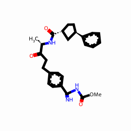 COC(=O)NC(=N)c1ccc(CCC(=O)[C@H](C)NC(=O)[C@@H]2CC[C@@H](c3ccccc3)C2)cc1